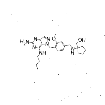 CCCCNc1nc(N)nc2cnn(Cc3ccc(CNC4(CO)CCCC4)cc3OC)c12